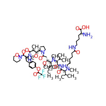 CC[C@H](C)[C@@H]([C@@H](CC(=O)N1CCC[C@H]1[C@H](OC)[C@@H](C)C(=O)N[C@@H](Cc1ccc(OC(=O)C(F)(F)F)cc1)C(=O)N1CCCCO1)OC)N(C)[C@H](C(=O)NC(=O)[C@H](C(C)C)N(C)CCCCCC(=O)NCCCC[C@H](N)C(=O)O)C(C)C